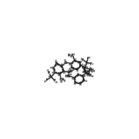 Cc1nc(C2(C(F)(F)F)CCC2)ccc1Oc1nnc(C(F)(F)F)c(C)c1C(=O)Nc1cccc(S(C)(=O)=O)c1